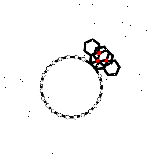 C1CCC(C2(C3CCCCC3)OCCOCCOCCOCCOCCOCCOCCOC2(C2CCCCC2)C2CCCCC2)CC1